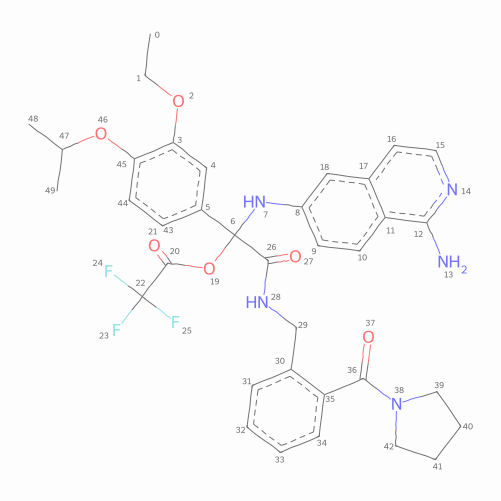 CCOc1cc(C(Nc2ccc3c(N)nccc3c2)(OC(=O)C(F)(F)F)C(=O)NCc2ccccc2C(=O)N2CCCC2)ccc1OC(C)C